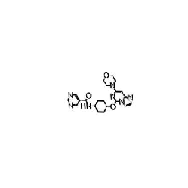 O=C(NC1CCC(Oc2nc(N3CCOCC3)cc3nccn23)CC1)c1cncnc1